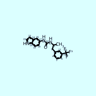 CC(Cc1cccc(C(F)(F)F)c1)NC(=O)Nc1ccc2[nH]ccc2c1